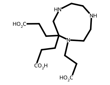 O=C(O)CCN1CCNCCNCC1(CCC(=O)O)CCC(=O)O